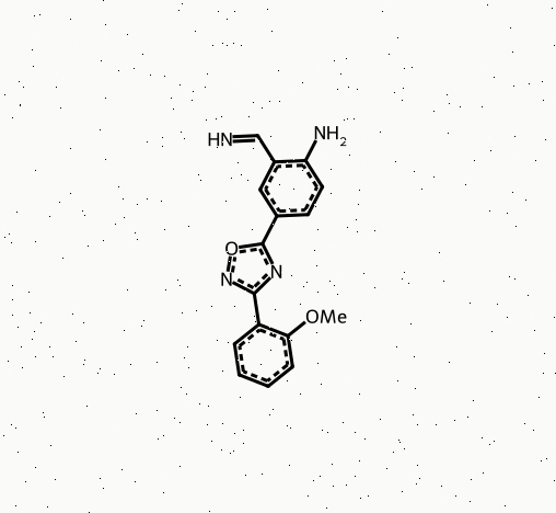 COc1ccccc1-c1noc(-c2ccc(N)c(C=N)c2)n1